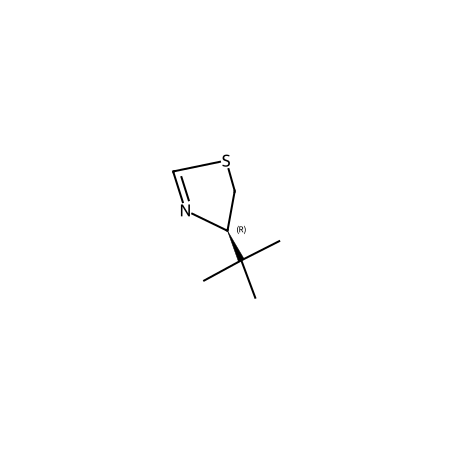 CC(C)(C)[C@@H]1CSC=N1